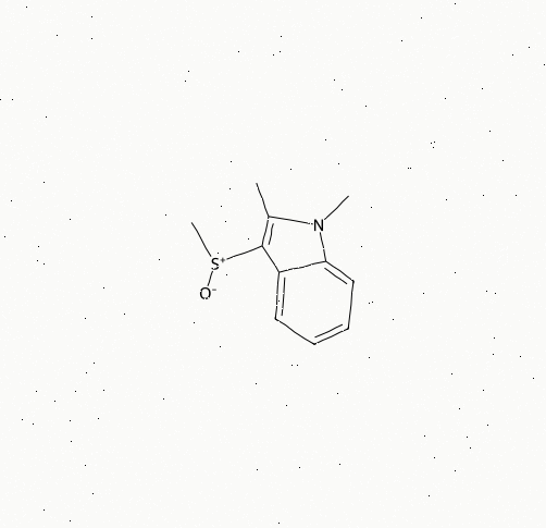 Cc1c([S+](C)[O-])c2ccccc2n1C